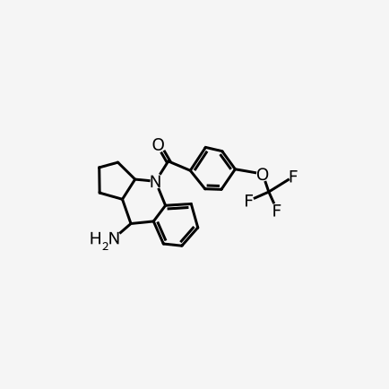 NC1c2ccccc2N(C(=O)c2ccc(OC(F)(F)F)cc2)C2CCCC12